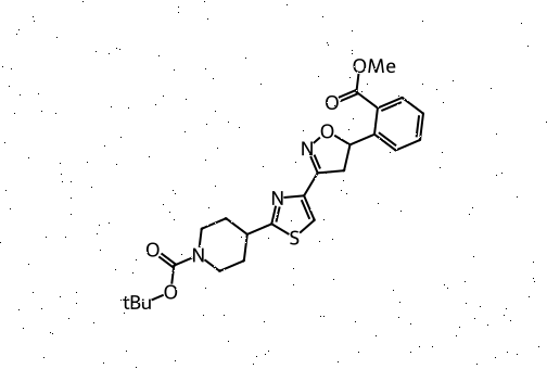 COC(=O)c1ccccc1C1CC(c2csc(C3CCN(C(=O)OC(C)(C)C)CC3)n2)=NO1